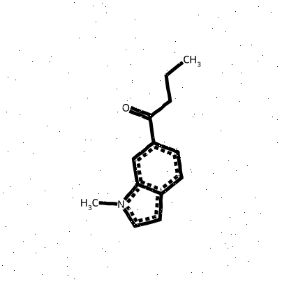 CCCC(=O)c1ccc2ccn(C)c2c1